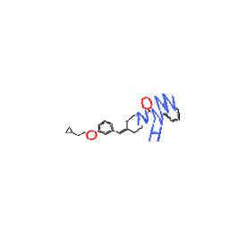 O=C(Nc1cccnn1)N1CCC(=Cc2cccc(OCCC3CC3)c2)CC1